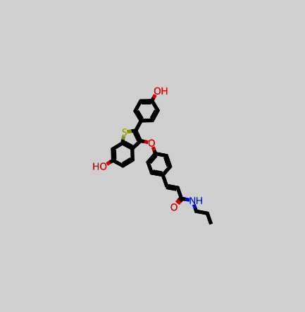 CCCNC(=O)/C=C/c1ccc(Oc2c(-c3ccc(O)cc3)sc3cc(O)ccc23)cc1